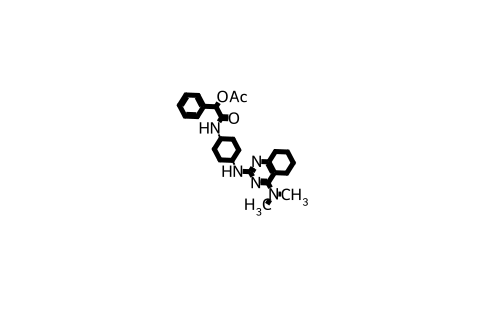 CC(=O)OC(C(=O)N[C@H]1CC[C@@H](Nc2nc3c(c(N(C)C)n2)CCCC3)CC1)c1ccccc1